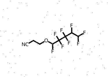 N#CCCOC(F)C(F)(F)C(F)(F)C(F)C(F)F